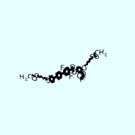 C=CC(=O)OCCCCCCOc1ccc(OC(=O)c2cc(F)c(-c3ccc(-c4ccc(OCCCCOC(=O)C=C)cc4)cc3)cc2F)c2c1OC(F)(F)O2